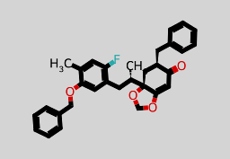 Cc1cc(F)c(C[C@H](C)[C@]23C[C@@H](Cc4ccccc4)C(=O)C=C2OCO3)cc1OCc1ccccc1